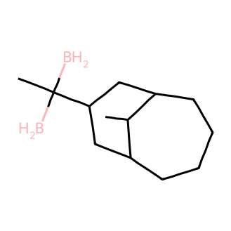 BC(B)(C)C1CC2CCCCC(C1)C2C